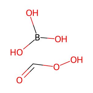 O=COO.OB(O)O